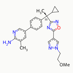 COCCn1cc(-c2nc([C@](C)(c3ccc(-c4cnc(N)c(C)c4)cc3)C3CC3)no2)cn1